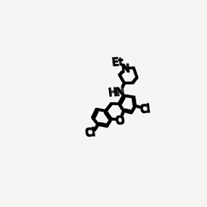 CCN1CCCC(Nc2cc(Cl)cc3c2Cc2ccc(Cl)cc2O3)C1